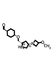 COC1CN([C@@H]2CN[C@H](CO[C@H]3CC[C@H](C=O)CC3)C2)C1